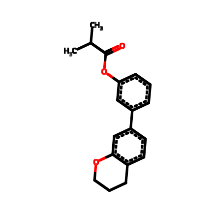 CC(C)C(=O)Oc1cccc(-c2ccc3c(c2)OCCC3)c1